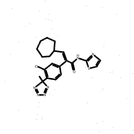 CC1(c2ccc(/C(=C\C3CCCCCC3)C(=O)Nc3nccs3)cc2Cl)N=NN=N1